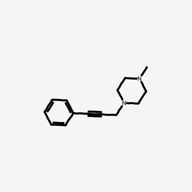 CN1CCN(CC#Cc2c[c]ccc2)CC1